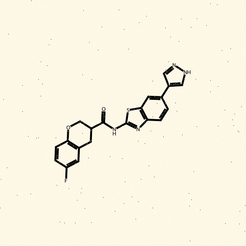 O=C(Nc1nc2ccc(-c3cn[nH]c3)cc2s1)C1COc2ccc(F)cc2C1